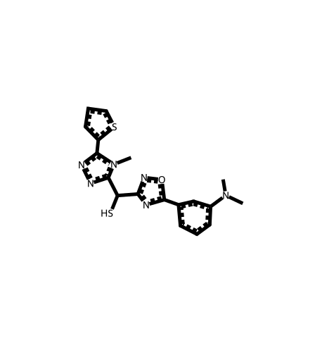 CN(C)c1cccc(-c2nc(C(S)c3nnc(-c4cccs4)n3C)no2)c1